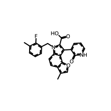 Cc1cccc(Cn2c(C(=O)O)c(-c3ccc[nH]c3=O)c3c4occ(C)c4ccc32)c1F